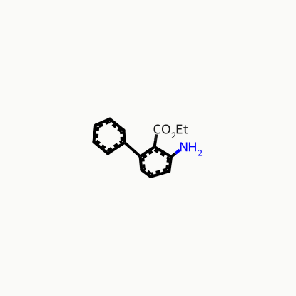 CCOC(=O)c1c(N)cccc1-c1ccccc1